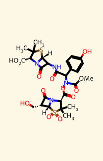 COC(=O)N(OC(=O)[C@@H]1N2C(=O)[C@@H](CO)[C@H]2S(=O)(=O)C1(C)C)C(C(=O)NC1C(=O)N2[C@@H]1SC(C)(C)[C@@H]2C(=O)O)c1ccc(O)cc1